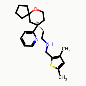 Cc1cc(C)c(CNCC[C@@]2(c3ccccn3)CCOC3(CCCC3)C2)s1